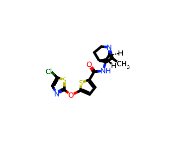 C[C@H]1[C@H](NC(=O)c2ccc(Oc3ncc(Cl)s3)s2)C2CCN1CC2